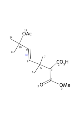 COC(=O)C(C(=O)O)C(C)(C)/C=C/C(C)(C)OC(C)=O